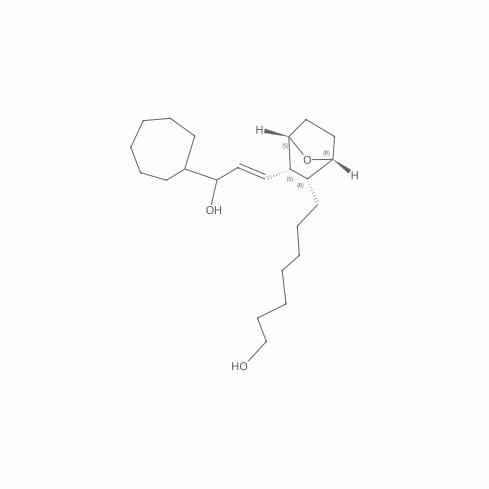 OCCCCCCC[C@@H]1[C@H](C=CC(O)C2CCCCCC2)[C@@H]2CC[C@H]1O2